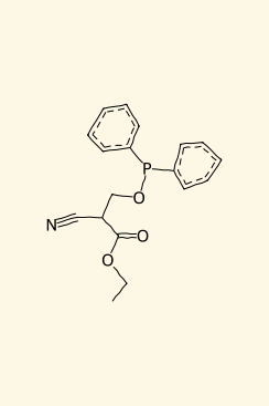 CCOC(=O)C(C#N)COP(c1ccccc1)c1ccccc1